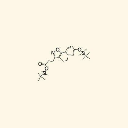 CC(C)(C)[Si](C)(C)OC(=O)CCc1noc2c1CCc1cc(O[Si](C)(C)C(C)(C)C)ccc1-2